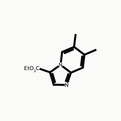 CCOC(=O)c1cnc2cc(C)c(C)cn12